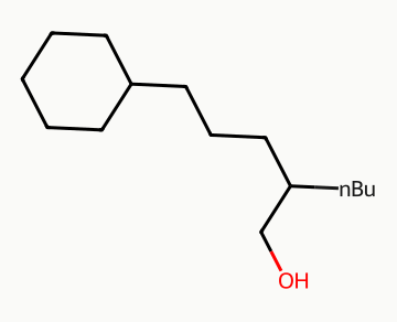 CCCCC(CO)CCCC1CCCCC1